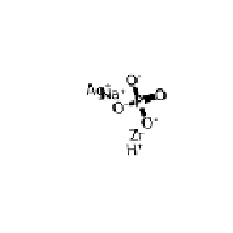 O=P([O-])([O-])[O-].[Ag+].[H+].[Na+].[Zr]